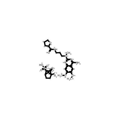 CC12CCC(C(S(=O)(=O)O)C1=O)C2(C)C.COc1cc2nc(N(C)CCCNC(=O)C3CCCO3)nc(N)c2cc1OC